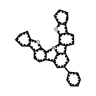 c1ccc(-c2cc3c4ccc5c6ccccc6oc5c4n4c3c(c2)c2ccc3c5ccccc5oc3c24)cc1